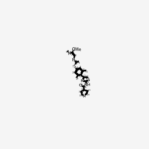 C=N/C(=C\N=C(/C)Sc1cc(C)c(-c2csc(NC(=O)c3ccncc3)n2)c(C)c1)OC